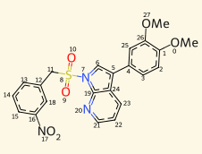 COc1ccc(-c2cn(S(=O)(=O)Cc3cccc([N+](=O)[O-])c3)c3ncccc23)cc1OC